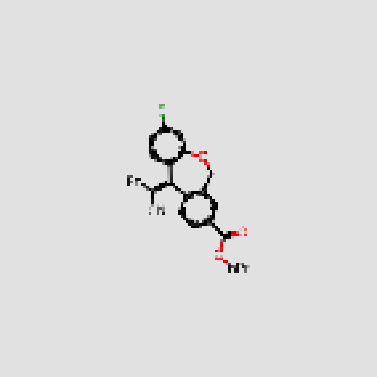 CCCOC(=O)c1ccc2c(c1)COc1cc(F)ccc1/C2=C(/C#N)CC